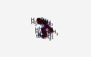 CC(C)(C)CCC(C)(C)C(=O)NCC(C)(C)COCC(C)(C)CC(=O)NCC(C)(C)COCC(C)(C)CC(=O)NCCOc1cc(OCCNC(=O)CC(C)(C)COCC(C)(C)CNC(=O)CC(C)(C)COCC(C)(C)CNC(=O)C(C)(C)CC(C)(C)C)cc(C(=O)NCCOc2ccc(-c3nnc(S(C)(=O)=O)o3)cc2)c1